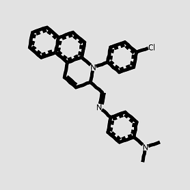 CN(C)c1ccc(/N=C/C2C=Cc3c(ccc4ccccc34)N2c2ccc(Cl)cc2)cc1